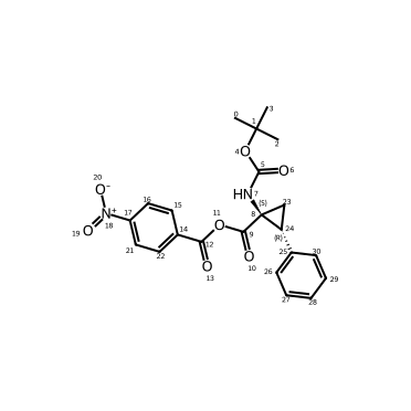 CC(C)(C)OC(=O)N[C@@]1(C(=O)OC(=O)c2ccc([N+](=O)[O-])cc2)C[C@@H]1c1ccccc1